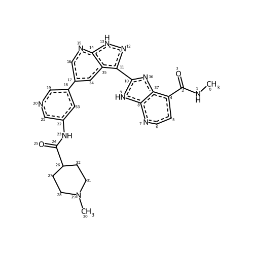 CNC(=O)c1ccnc2[nH]c(-c3n[nH]c4ncc(-c5cncc(NC(=O)C6CCN(C)CC6)c5)cc34)nc12